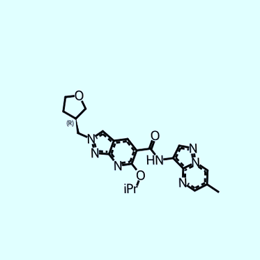 Cc1cnc2c(NC(=O)c3cc4cn(C[C@H]5CCOC5)nc4nc3OC(C)C)cnn2c1